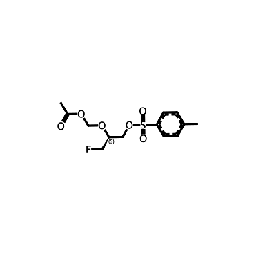 CC(=O)OCO[C@H](CF)COS(=O)(=O)c1ccc(C)cc1